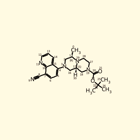 C[C@@H]1CN(c2ccc(C#N)c3ncccc23)C[C@H]2CN(C(=O)OC(C)(C)C)CCN21